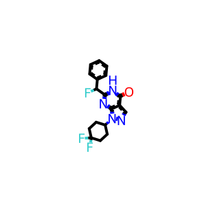 O=c1[nH]c(C(F)c2ccccc2)nc2c1cnn2C1CCC(F)(F)CC1